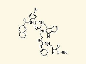 CC(C)(C)OC(=O)NCCN/C(=N\c1ccccc1)NCCNC(=O)[C@H](Cc1c[nH]c2ccccc12)NC(=O)c1cc(Br)ccc1NC(=O)c1ccc2ccccc2c1